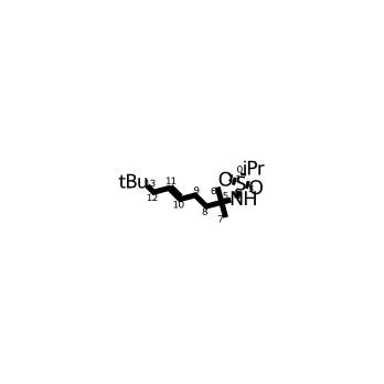 CC(C)S(=O)(=O)NC(C)(C)CC/C=C/CC(C)(C)C